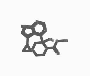 CC(C)(C)OC(=O)N1CCNCC1(C)c1ncnc2[nH]cc(C3CC3)c12